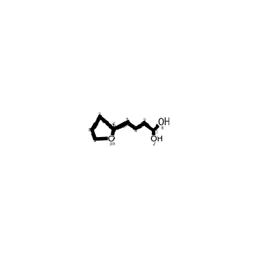 OC(O)CCCC1CCCO1